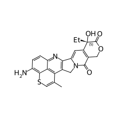 CC[C@@]1(O)C(=O)OCc2c1cc1n(c2=O)Cc2c-1nc1ccc(N)c3c1c2C(C)=CS3